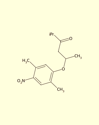 Cc1cc([N+](=O)[O-])c(C)cc1OC(C)CC(=O)C(C)C